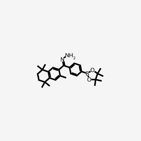 Cc1cc2c(cc1/C(=N/N)c1ccc(B3OC(C)(C)C(C)(C)O3)cc1)C(C)(C)CCC2(C)C